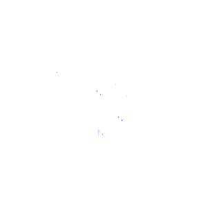 C=CCOC(=O)N1C[C@@H](SC(C)=O)CC1c1ncc2sccn12